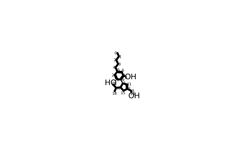 CCCCCc1cc(O)c([C@H]2C=C(CO)CC2C(C)C)c(O)c1